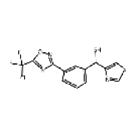 FC(F)(Cl)c1nc(-c2cccc(C(S)c3cscn3)c2)no1